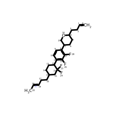 C=CCCC1CCC(c2ccc(C3CCC(CC/C=C/C)CC3(F)F)c(F)c2F)CO1